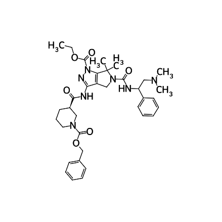 CCOC(=O)n1nc(NC(=O)[C@@H]2CCCN(C(=O)OCc3ccccc3)C2)c2c1C(C)(C)N(C(=O)NC(CN(C)C)c1ccccc1)C2